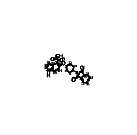 CS(=O)(=O)c1c(O[C@H]2CC[C@@H](N3C(=O)c4ccccc4C3=O)CC2)ccc2[nH]ncc12